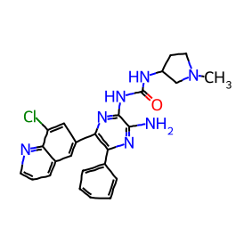 CN1CCC(NC(=O)Nc2nc(-c3cc(Cl)c4ncccc4c3)c(-c3ccccc3)nc2N)C1